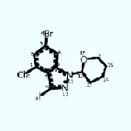 Clc1cc(Br)cc2c1c(I)nn2C1CCCCO1